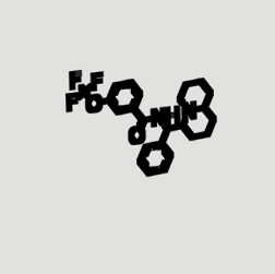 O=C(NC(c1ccccc1)C1CCCC2CCCCN21)c1cccc(OC(F)(F)F)c1